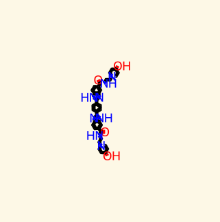 O=C(NCCN1CCC(O)CC1)c1ccc2[nH]c(-c3ccc(-c4nc5ccc(C(=O)NCCN6CCC(O)CC6)cc5[nH]4)cc3)nc2c1